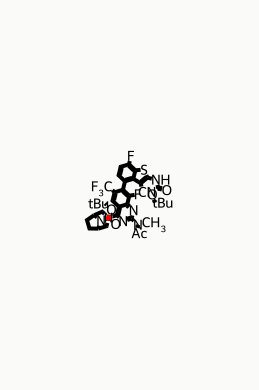 CC(=O)N(C)c1nc(N2CC3CCC(C2)N3C(=O)OC(C)(C)C)c2cc(C(F)(F)F)c(-c3ccc(F)c4sc(NC(=O)OC(C)(C)C)c(C#N)c34)c(F)c2n1